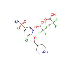 NS(=O)(=O)c1cnc(OCC2CCNCC2)c(Cl)c1.O=C(O)C(F)(F)F.O=C(O)C(F)(F)F